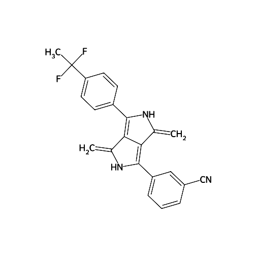 C=c1[nH]c(-c2cccc(C#N)c2)c2c(=C)[nH]c(-c3ccc(C(C)(F)F)cc3)c12